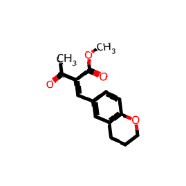 COC(=O)C(=Cc1ccc2c(c1)CCCO2)C(C)=O